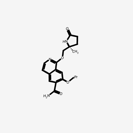 CC(C)Oc1cc2c(OC[C@]3(C)CCC(=O)N3)nccc2cc1C(N)=O